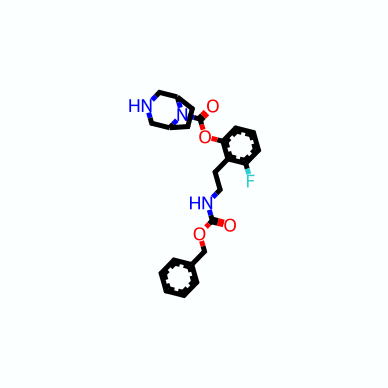 O=C(NCCc1c(F)cccc1OC(=O)N1C2CCC1CNC2)OCc1ccccc1